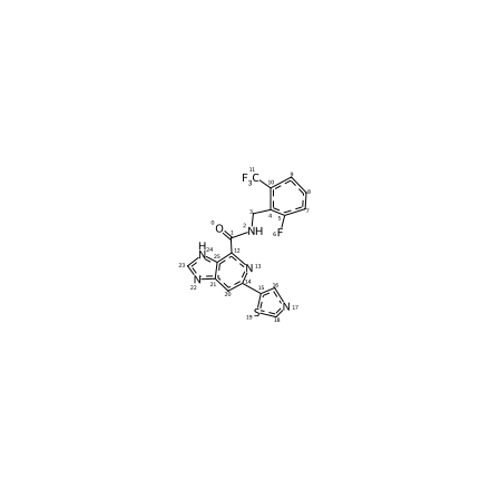 O=C(NCc1c(F)cccc1C(F)(F)F)c1nc(-c2cncs2)cc2nc[nH]c12